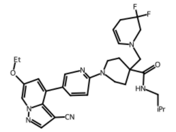 CCOc1cc(-c2ccc(N3CCC(CN4C=CCC(F)(F)C4)(C(=O)NCC(C)C)CC3)nc2)c2c(C#N)cnn2c1